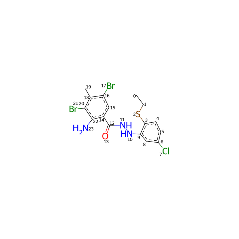 CCSc1ccc(Cl)cc1NNC(=O)c1cc(Br)c(C)c(Br)c1N